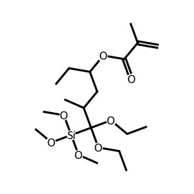 C=C(C)C(=O)OC(CC)CC(C)C(OCC)(OCC)[Si](OC)(OC)OC